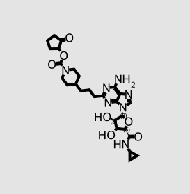 Nc1nc(CCCC2CCN(C(=O)OC3CCCC3=O)CC2)nc2c1ncn2[C@@H]1O[C@H](C(=O)NC2CC2)C(O)[C@@H]1O